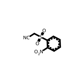 N#CCS(=O)(=O)c1ccccc1[N+](=O)[O-]